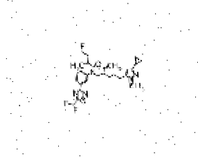 C=CC(CCCc1cc(C2CC2)nn1C)CN(C(=O)C(=C)CCF)c1cccc(-c2noc(C(F)F)n2)c1